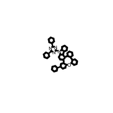 c1ccc(-c2ccc3oc4ccccc4c4ccccc4c4c(ccc5c4c4ccccc4n5-c4nc(-c5ccccc5)nc(-c5ccccc5)n4)c3c2)cc1